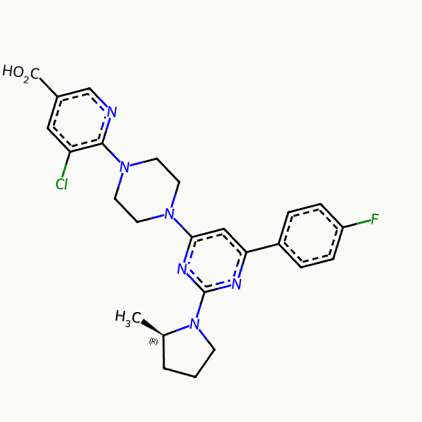 C[C@@H]1CCCN1c1nc(-c2ccc(F)cc2)cc(N2CCN(c3ncc(C(=O)O)cc3Cl)CC2)n1